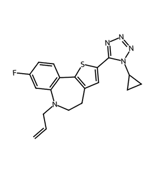 C=CCN1CCc2cc(-c3nnnn3C3CC3)sc2-c2ccc(F)cc21